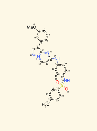 COc1cccc(-c2cnn3ccc(Nc4ccc(NS(=O)(=O)c5ccc(C)cc5)cc4)nc23)c1